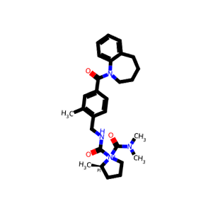 Cc1cc(C(=O)N2CCCCc3ccccc32)ccc1CNC(=O)[N+]1(C(=O)N(C)C)CCC[C@H]1C